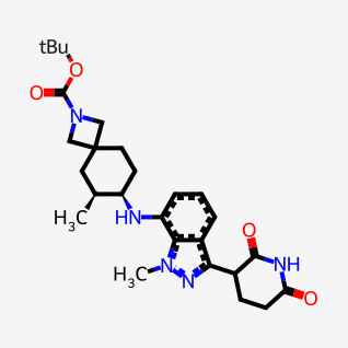 C[C@H]1CC2(CC[C@H]1Nc1cccc3c(C4CCC(=O)NC4=O)nn(C)c13)CN(C(=O)OC(C)(C)C)C2